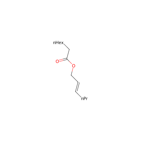 CCCC=CCOC(=O)CCCCCCC